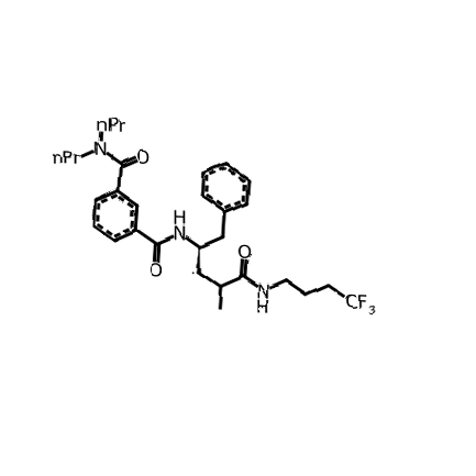 CCCN(CCC)C(=O)c1cccc(C(=O)N[C@H]([CH]C(C)C(=O)NCCCC(F)(F)F)Cc2ccccc2)c1